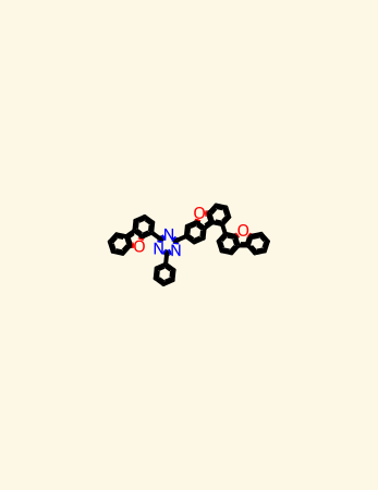 c1ccc(-c2nc(-c3ccc4c(c3)oc3cccc(-c5cccc6c5oc5ccccc56)c34)nc(-c3cccc4c3oc3ccccc34)n2)cc1